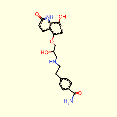 NC(=O)c1ccc(CCNCC(O)COc2ccc(O)c3[nH]c(=O)ccc23)cc1